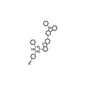 N#Cc1ccc(C2=NC(c3cccc4c3sc3cc(-c5ccc6c(c5)c5ccccc5n6-c5ccccc5)ccc34)=NC(c3ccccc3)N2)cc1